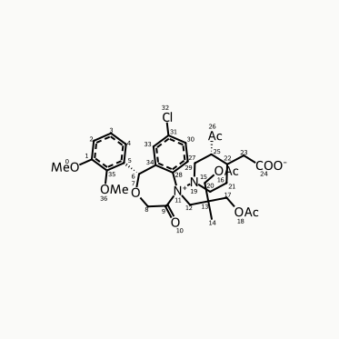 COc1cccc([C@H]2OCC(=O)[N+](CC(C)(COC(C)=O)COC(C)=O)(N3CCC(CC(=O)[O-])[C@@H](C(C)=O)C3)c3ccc(Cl)cc32)c1OC